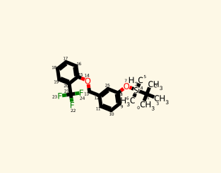 CC(C)(C)[Si](C)(C)Oc1cccc(COc2ccccc2C(F)(F)F)c1